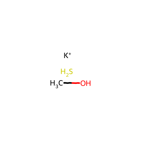 CO.S.[K+]